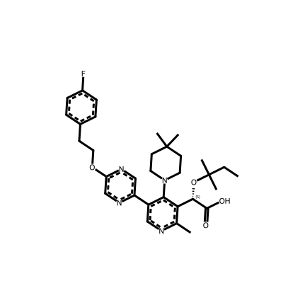 CCC(C)(C)O[C@H](C(=O)O)c1c(C)ncc(-c2cnc(OCCc3ccc(F)cc3)cn2)c1N1CCC(C)(C)CC1